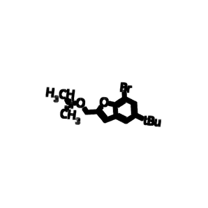 C[SiH](C)OCc1cc2cc(C(C)(C)C)cc(Br)c2o1